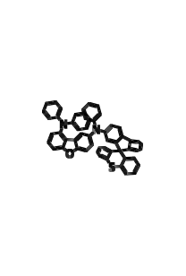 c1ccc(N(c2ccc3c(c2)C2(c4ccccc4Sc4ccccc42)c2ccccc2-3)c2ccc3oc4cccc(N(c5ccccc5)c5ccccc5)c4c3c2)cc1